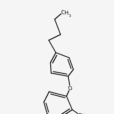 [CH2]c1ccccc1Oc1ccc(CCCC)cc1